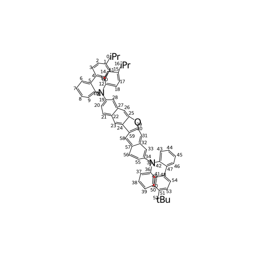 CC(C)c1ccc(-c2ccccc2N(c2ccc(C(C)C)cc2)c2ccc3cc4c(cc3c2)oc2cc3cc(N(c5ccccc5)c5ccccc5-c5ccc(C(C)(C)C)cc5)ccc3cc24)cc1